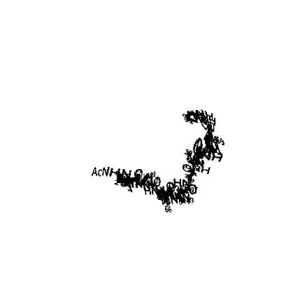 CC(=O)Nc1cn(C)c(C(=O)Nc2cn(C)c(C(=O)Nc3cc(C(=O)Nc4cc(C(=O)NCCCC(=O)Nc5cn(C)c(C(=O)Nc6cc(C(=O)ON7NNc8cccnc87)n(C)c6)n5)n(C)c4)n(C)c3)n2)n1